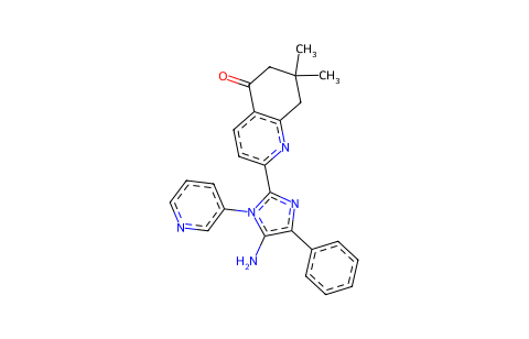 CC1(C)CC(=O)c2ccc(-c3nc(-c4ccccc4)c(N)n3-c3cccnc3)nc2C1